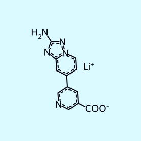 Nc1nc2cc(-c3cncc(C(=O)[O-])c3)ccn2n1.[Li+]